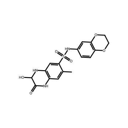 Cc1cc2c(cc1S(=O)(=O)Nc1ccc3c(c1)OCCO3)NC(O)C(=O)N2